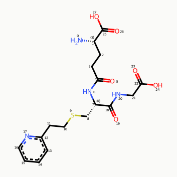 N[C@@H](CCC(=O)N[C@@H](CSCCc1ccccn1)C(=O)NCC(=O)O)C(=O)O